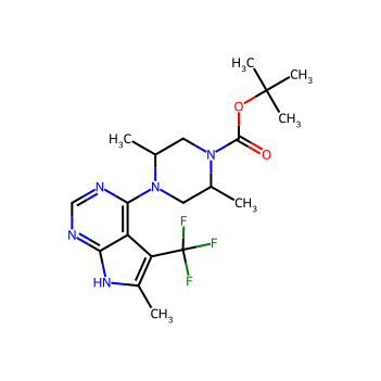 Cc1[nH]c2ncnc(N3CC(C)N(C(=O)OC(C)(C)C)CC3C)c2c1C(F)(F)F